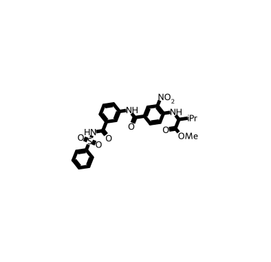 COC(=O)C(Nc1ccc(C(=O)Nc2cccc(C(=O)NS(=O)(=O)c3ccccc3)c2)cc1[N+](=O)[O-])C(C)C